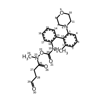 Cc1cccc(N2CCOCC2)c1-c1ccccc1NC(=O)ON(C)C(=O)CCC=O